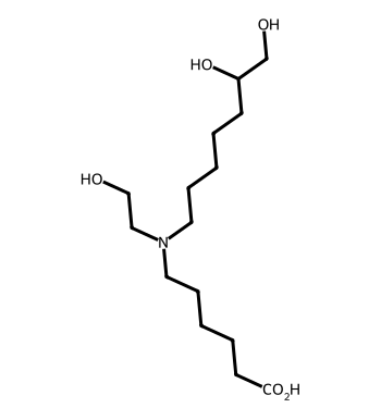 O=C(O)CCCCCN(CCO)CCCCCC(O)CO